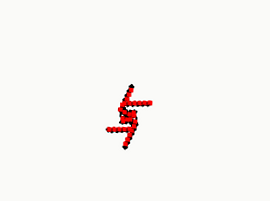 CCCCCCCCCCC(CCCCCCCC)Cc1ccc(-c2c3cc(C)sc3c(-c3ccc(CC(CCCCCCCC)CCCCCCCCCC)s3)c3cc(C)sc23)s1